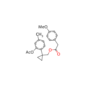 COc1ccc(CC(=O)OCC2(c3ccc(C)cc3OC(C)=O)CC2)cc1